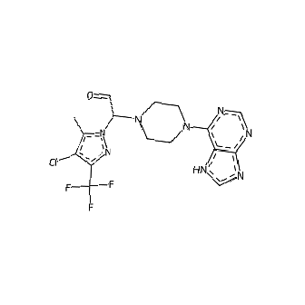 Cc1c(Cl)c(C(F)(F)F)nn1C(C=O)N1CCN(c2ncnc3nc[nH]c23)CC1